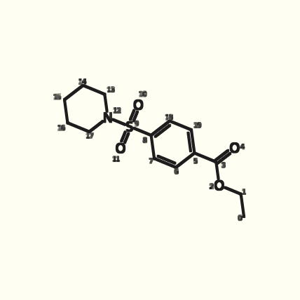 CCOC(=O)c1ccc(S(=O)(=O)N2CCCCC2)cc1